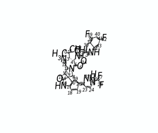 CC(C)C[C@@H](C(=O)N1C[C@]2(C[C@H]1C#N)C(=O)Nc1ccc(C(=N)/C=C\NC(F)F)cc12)N(C)C(=O)c1cc2c(F)cc(F)cc2[nH]1